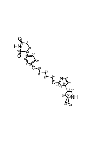 O=C1CCC(c2ccc(OCCCCCOc3cc([C@@H]4CNC5(CC5)C4)ccn3)cc2)C(=O)N1